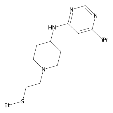 CCSCCN1CCC(Nc2cc(C(C)C)ncn2)CC1